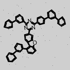 c1ccc(-c2cccc(-c3ccc(-c4nc(-c5cccc(-c6ccccc6)c5)nc(-c5ccc6c(c5)oc5cccc(-c7cccc(-c8ccccc8)c7)c56)n4)cc3)c2)cc1